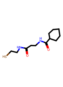 O=C(CCNC(=O)C1CCCCC1)NCCS